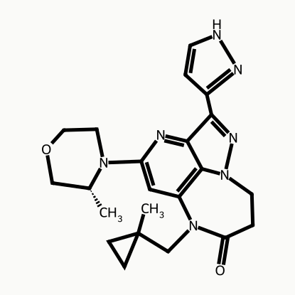 C[C@@H]1COCCN1c1cc2c3c(n1)c(-c1cc[nH]n1)nn3CCC(=O)N2CC1(C)CC1